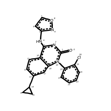 O=c1nc(Nc2ccon2)c2ccc(C3CC3)cc2n1-c1ccccc1Cl